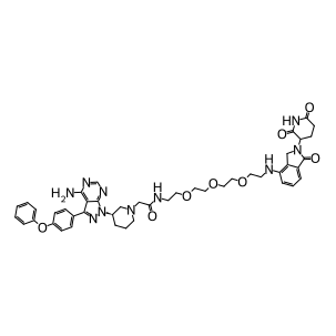 Nc1ncnc2c1c(-c1ccc(Oc3ccccc3)cc1)nn2[C@@H]1CCCN(CC(=O)NCCOCCOCCOCCNc2cccc3c2CN(C2CCC(=O)NC2=O)C3=O)C1